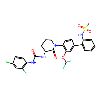 CS(=O)(=O)Nc1ccccc1-c1ccc(N2CCC[C@@H](NC(=O)Nc3ccc(Cl)cc3F)C2=O)c(OC(F)F)c1